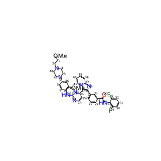 COCCN1CCN(c2ccc(Nc3nccc(-c4c(-c5cccc(C(=O)Nc6c(F)cccc6F)c5)nc5ccccn45)n3)c(OC)c2)CC1